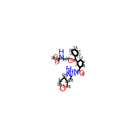 CN[C@H](CNC(=O)c1cccc(C(OCCNC(=O)OC)c2ccccc2)c1)C[C@H]1CCCOC1